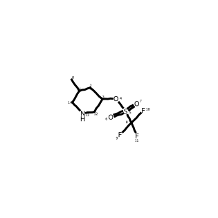 CC1[CH]C(OS(=O)(=O)C(F)(F)F)CNC1